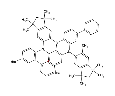 Cc1cc2c(cc1N1c3cc(-c4ccccc4)ccc3B3c4cc5c(cc4N(c4ccc(C(C)(C)C)cc4-c4ccccc4)c4cc(C(C)(C)C)cc1c43)C(C)(C)CC5(C)C)C(C)(C)CC2(C)C